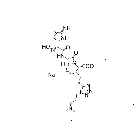 CN(C)CCCn1nnnc1SCC1=C(C(=O)[O-])N2C(=O)C(NC(=O)C(=NO)c3csc(=N)[nH]3)[C@@H]2SC1.[Na+]